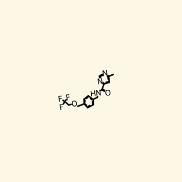 Cc1cc(C(=O)NCc2ccc(COCC(F)(F)F)cc2)ncn1